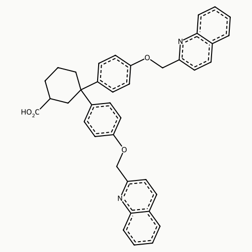 O=C(O)C1CCCC(c2ccc(OCc3ccc4ccccc4n3)cc2)(c2ccc(OCc3ccc4ccccc4n3)cc2)C1